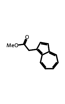 COC(=O)Cc1ccc2cccccc1-2